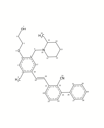 Cc1cc(OCCO)c(CN2CCCCC2C)cc1/C=C/c1cccc(-c2ccccc2)c1C#N